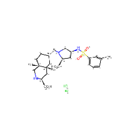 Cc1cccc(S(=O)(=O)N[C@H]2C[C@@H](C(=O)O)N(C[C@H]3CC[C@H]4CN[C@H](C(=O)O)C[C@H]4C3)C2)c1.Cl.Cl